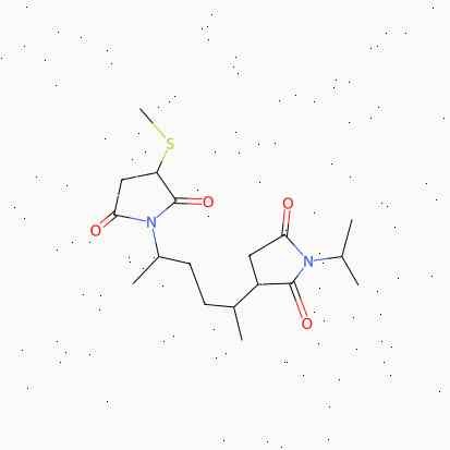 CSC1CC(=O)N(C(C)CCC(C)C2CC(=O)N(C(C)C)C2=O)C1=O